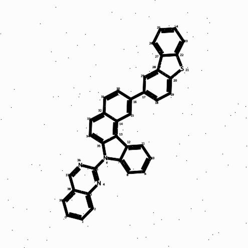 c1ccc2nc(-n3c4ccccc4c4c5cc(-c6ccc7sc8ccccc8c7c6)ccc5ccc43)ncc2c1